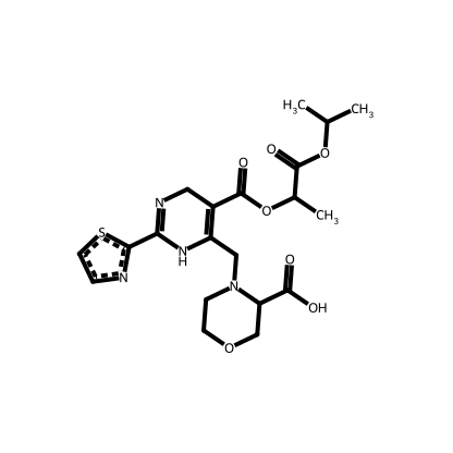 CC(C)OC(=O)C(C)OC(=O)C1=C(CN2CCOCC2C(=O)O)NC(c2nccs2)=NC1